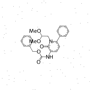 COC(Cn1c(-c2ccccc2)ccc(NC(=O)OCc2ccccc2)c1=O)OC